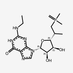 C=P(C)(C)CC(C)[C@H]1O[C@@H](n2cnc3c(=O)[nH]c(NCC)nc32)[C@H](O)[C@@H]1O